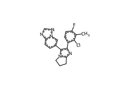 Cc1c(F)ccc(-c2nc3n(c2-c2ccc4ncnn4c2)CCC3)c1Cl